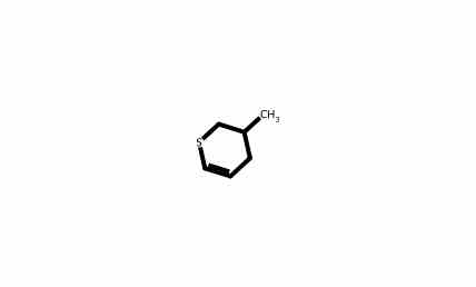 CC1CC=CSC1